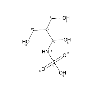 O=S(=O)(O)NC(O)C(CO)CO